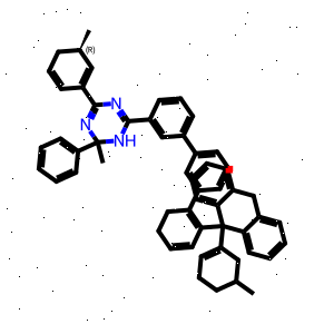 CC1CCC=C(C2(C3=C(c4cccc(-c5cccc(C6=NC(C7=C[C@H](C)CC=C7)=NC(C)(c7ccccc7)N6)c5)c4)CCC=C3)c3ccccc3Cc3ccccc32)C1